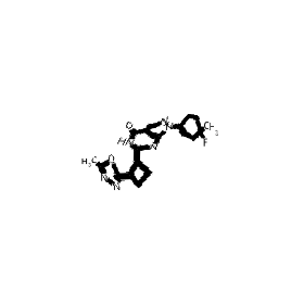 Cc1nnc(C2CCC2c2nc3c(cnn3C3CCC(C)(F)CC3)c(=O)[nH]2)o1